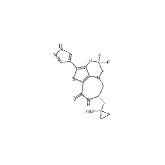 O=C1N[C@@H](CC2(O)CC2)CN2CC(F)(F)Oc3c(-c4cn[nH]c4)sc1c32